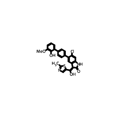 COc1cccc(-c2ccc(-c3cc4c(cc3Cl)NC(=O)C4=C(O)c3cnc(C)s3)cc2)c1O